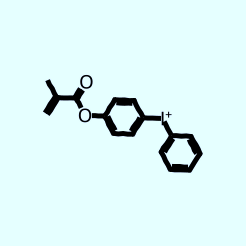 C=C(C)C(=O)Oc1ccc([I+]c2ccccc2)cc1